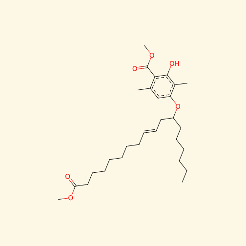 CCCCCCC(CC=CCCCCCCCC(=O)OC)Oc1cc(C)c(C(=O)OC)c(O)c1C